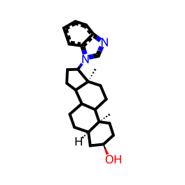 C[C@]12CCC3C(CC[C@@H]4C[C@H](O)CC[C@]34C)C1CCC2n1cnc2ccccc21